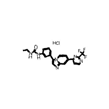 CCNC(=O)Nc1cccc(-c2cnc3cc(-c4ccnc(C(F)(F)F)n4)ccn23)c1.Cl